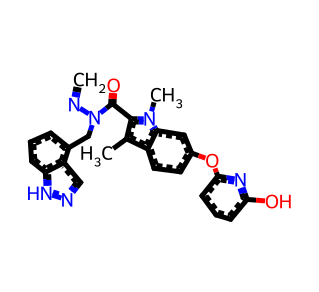 C=NN(Cc1cccc2[nH]ncc12)C(=O)c1c(C)c2ccc(Oc3cccc(O)n3)cc2n1C